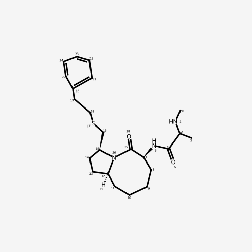 CNC(C)C(=O)N[C@H]1CCCC[C@H]2CC[C@@H](CSCCc3ccccc3)N2C1=O